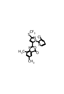 Cc1cc(C)c2nc(-c3cc(SC(F)(F)F)nn3-c3ncccc3Cl)oc(=O)c2c1